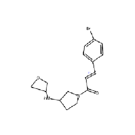 O=C(/C=C/c1ccc(Br)cc1)N1CCC(NC2COC2)C1